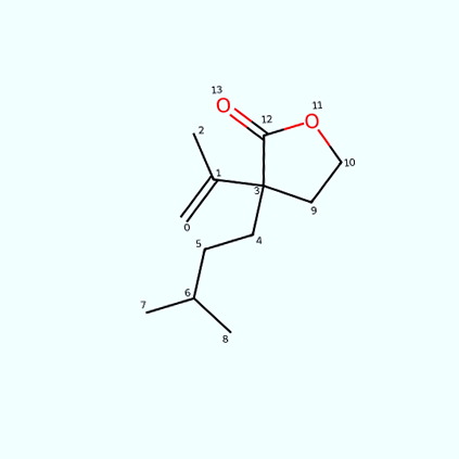 C=C(C)C1(CCC(C)C)CCOC1=O